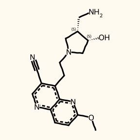 COc1ccc2ncc(C#N)c(CCN3C[C@H](CN)[C@H](O)C3)c2n1